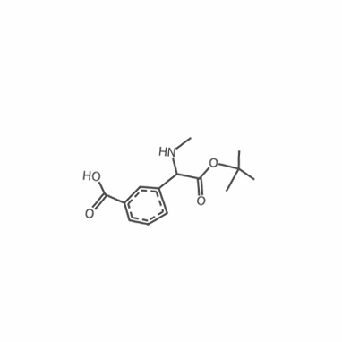 CNC(C(=O)OC(C)(C)C)c1cccc(C(=O)O)c1